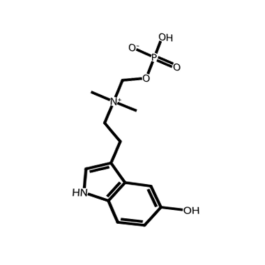 C[N+](C)(CCc1c[nH]c2ccc(O)cc12)COP(=O)([O-])O